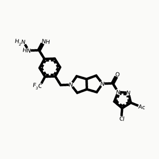 CC(=O)c1nn(C(=O)N2CC3CN(Cc4ccc(C(=N)NN)cc4C(F)(F)F)CC3C2)cc1Cl